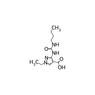 CCCCNC(=O)Nc1nn(CC)cc1C(=O)O